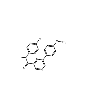 CN(C(=O)c1cncc(-c2ccc(OC(F)(F)F)cc2)n1)c1ccc(Cl)cc1